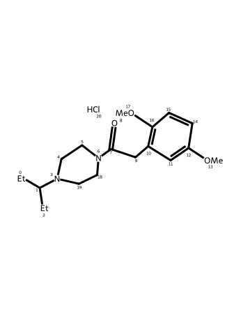 CCC(CC)N1CCN(C(=O)Cc2cc(OC)ccc2OC)CC1.Cl